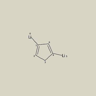 [Li][C]1=CC[C]([Li])=C1